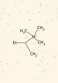 [CH2]C(CC)[N+](C)(C)C